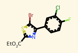 CCOC(=O)c1nc(-c2ccc(F)c(Cl)c2)c(Br)s1